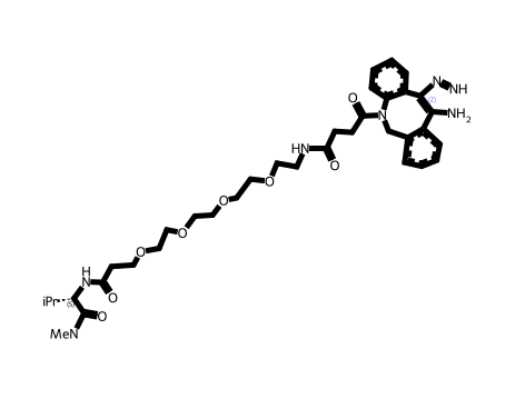 CNC(=O)[C@@H](NC(=O)CCOCCOCCOCCOCCNC(=O)CCC(=O)N1Cc2ccccc2/C(N)=C(/N=N)c2ccccc21)C(C)C